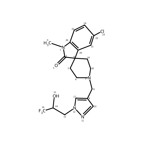 CN1C(=O)C2(CCN(Cc3cnn(CC(O)C(F)(F)F)c3)CC2)c2cc(Cl)ccc21